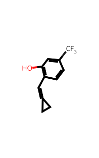 Oc1cc(C(F)(F)F)ccc1C=C1CC1